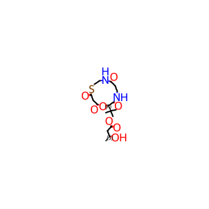 C[C@H](O)CC(=O)OCC(C)(C)[C@H]1OC(=O)CC(=O)SCCNC(=O)CCNC1=O